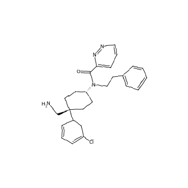 NC[C@]1(C2C=CC=C(Cl)C2)CC[C@@H](N(CCc2ccccc2)C(=O)c2cccnn2)CC1